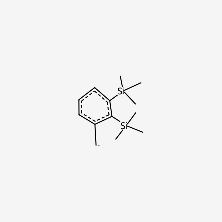 [CH2]c1cccc([Si](C)(C)C)c1[Si](C)(C)C